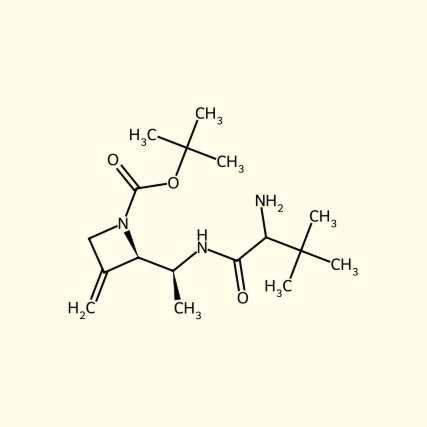 C=C1CN(C(=O)OC(C)(C)C)[C@H]1[C@H](C)NC(=O)C(N)C(C)(C)C